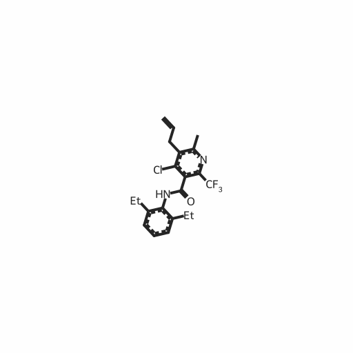 C=CCc1c(C)nc(C(F)(F)F)c(C(=O)Nc2c(CC)cccc2CC)c1Cl